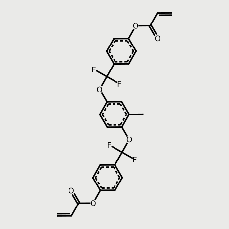 C=CC(=O)Oc1ccc(C(F)(F)Oc2ccc(OC(F)(F)c3ccc(OC(=O)C=C)cc3)c(C)c2)cc1